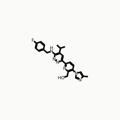 Cc1cn(-c2ccc(-c3cc(C(C)C)c(NCc4ccc(F)cc4)nn3)nc2CO)cn1